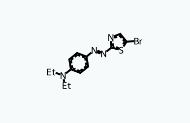 CCN(CC)c1ccc(N=Nc2ncc(Br)s2)cc1